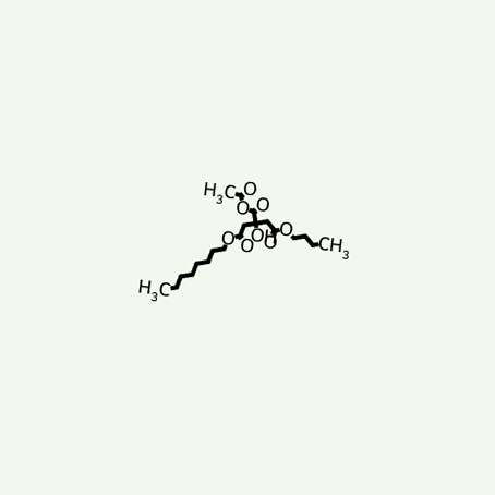 CCCCCCCCOC(=O)CC(O)(CC(=O)OCCCC)C(=O)OC(C)=O